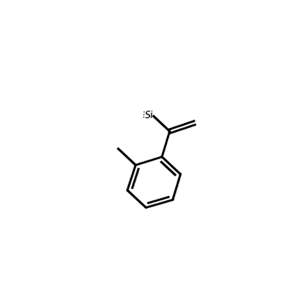 C=C([Si])c1ccccc1C